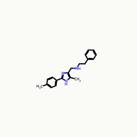 Cc1ccc(-c2nc(CNCCc3ccccc3)c(C)[nH]2)cc1